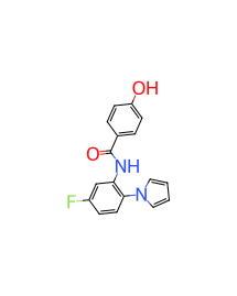 O=C(Nc1cc(F)ccc1-n1cccc1)c1ccc(O)cc1